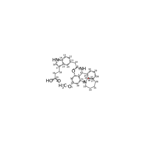 COc1ccc(C(NC(=O)Cc2ccc3[nH]cc(CCC(=O)O)c3c2)c2ccccc2)c(N2CCCCCC2)c1